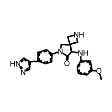 COc1cccc(NC2C(=O)N(c3ccc(-c4cn[nH]c4)cc3)CC23CNC3)c1